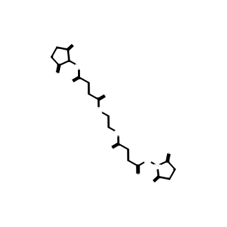 O=C(CCC(=O)OC1C(=O)CCC1=O)OCCOC(=O)CCC(=O)ON1C(=O)CCC1=O